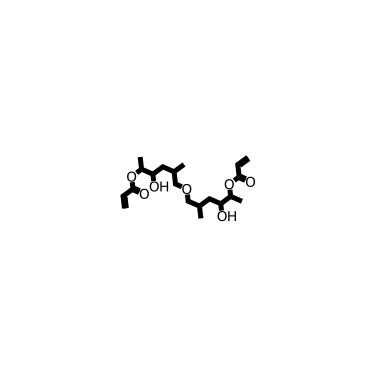 C=CC(=O)OC(C)C(O)CC(C)COCC(C)CC(O)C(C)OC(=O)C=C